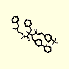 CN(CCN(C)C(=O)C(I)(Cc1ccccc1)N(Cc1ccc(-c2ccccn2)cc1)C(=O)C=Cc1ccc(C(F)(F)F)cc1)Cc1cccnc1